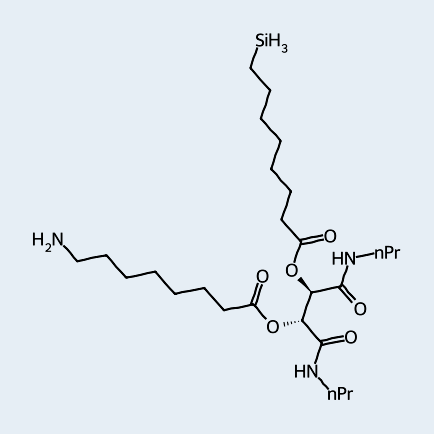 CCCNC(=O)[C@H](OC(=O)CCCCCCCN)[C@@H](OC(=O)CCCCCCC[SiH3])C(=O)NCCC